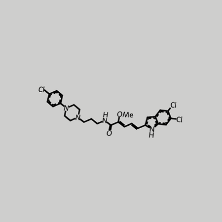 CO/C(=C\C=C\c1cc2cc(Cl)c(Cl)cc2[nH]1)C(=O)NCCCN1CCN(c2ccc(Cl)cc2)CC1